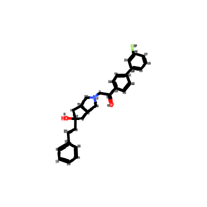 O=C(CN1CC2CC(O)(CCc3ccccc3)CC2C1)c1ccc(-c2cccc(F)c2)cc1